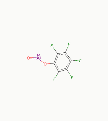 O=[PH2]Oc1c(F)c(F)c(F)c(F)c1F